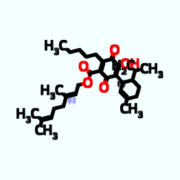 C=C(C)C1CCC(C)=C[C@H]1C1=C(O)C(=O)C(CCCCC)=C(C(=O)OC/C=C(\C)CCC=C(C)C)C1=O